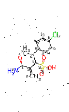 C=C(C(N)=O)C(C(C)c1ccc(Cl)cc1)S(=O)(=O)O